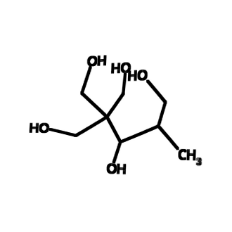 CC(CO)C(O)C(CO)(CO)CO